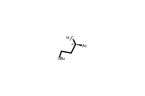 CCCCCC[C@@H](C)C(C)=O